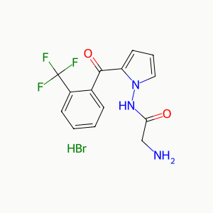 Br.NCC(=O)Nn1cccc1C(=O)c1ccccc1C(F)(F)F